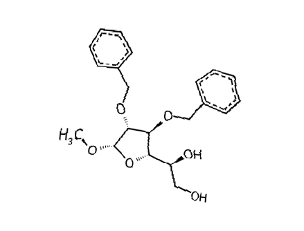 CO[C@H]1O[C@@H]([C@@H](O)CO)[C@H](OCc2ccccc2)[C@H]1OCc1ccccc1